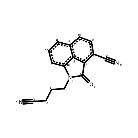 N#CCCCN1C(=O)c2c(C#N)ccc3cccc1c23